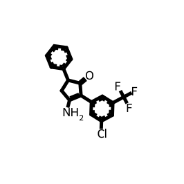 NC1=C(c2cc(Cl)cc(C(F)(F)F)c2)C(=O)C(c2ccccc2)C1